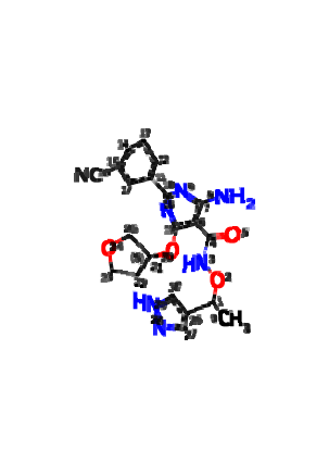 CC(ONC(=O)c1c(N)nc(-c2cccc(C#N)c2)nc1O[C@H]1CCOC1)c1cn[nH]c1